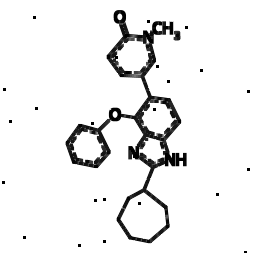 Cn1cc(-c2ccc3[nH]c(C4CCCCCC4)nc3c2Oc2ccccc2)ccc1=O